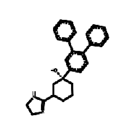 O[C@]1(c2ccc(-c3ccccc3)c(-c3ccccc3)c2)CCCC(C2=NCCN2)C1